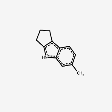 Cc1ccc2c3c([nH]c2c1)CCC3